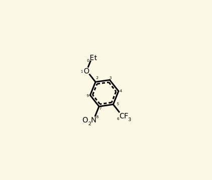 CCOc1ccc(C(F)(F)F)c([N+](=O)[O-])c1